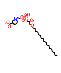 CCCCCCCCCCCCCCCCCCOCC(COP(=O)(O)OCC[N+]1(C)CCC=C(C(=O)OC)C1)OC